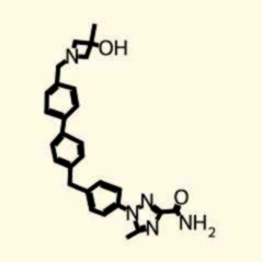 Cc1nc(C(N)=O)nn1-c1ccc(Cc2ccc(-c3ccc(CN4CC(C)(O)C4)cc3)cc2)cc1